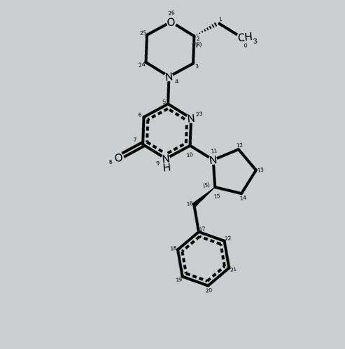 CC[C@@H]1CN(c2cc(=O)[nH]c(N3CCC[C@H]3Cc3ccccc3)n2)CCO1